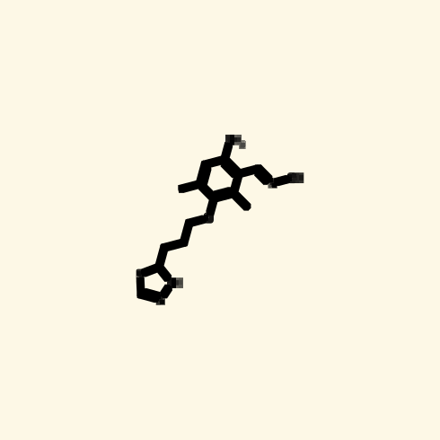 Cc1cc(N)c(C=NO)c(C)c1OCCCC1NN=CS1